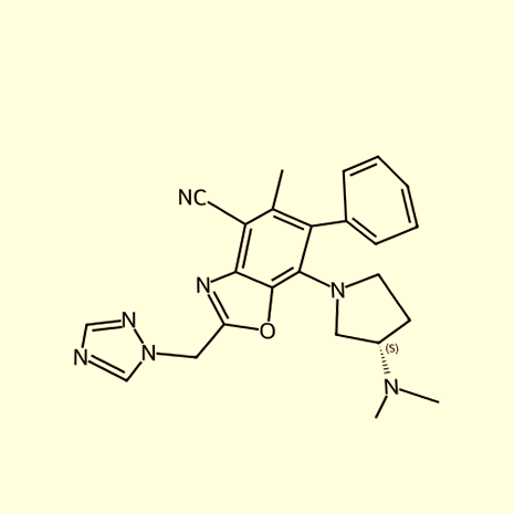 Cc1c(-c2ccccc2)c(N2CC[C@H](N(C)C)C2)c2oc(Cn3cncn3)nc2c1C#N